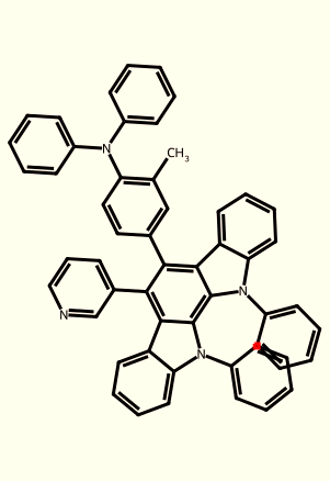 Cc1cc(-c2c(-c3cccnc3)c3c4ccccc4n(-c4ccccc4)c3c3c2c2ccccc2n3-c2ccccc2)ccc1N(c1ccccc1)c1ccccc1